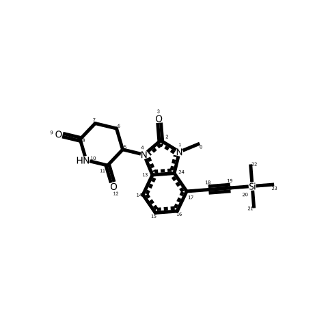 Cn1c(=O)n(C2CCC(=O)NC2=O)c2cccc(C#C[Si](C)(C)C)c21